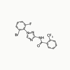 O=C(Nc1ncn(-c2c(F)cccc2Br)n1)c1ccccc1C(F)(F)F